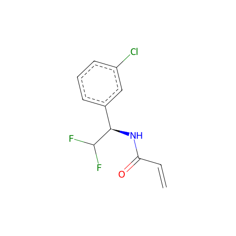 C=CC(=O)N[C@H](c1cccc(Cl)c1)C(F)F